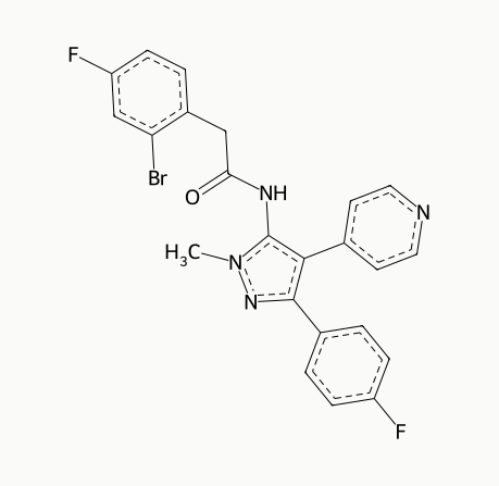 Cn1nc(-c2ccc(F)cc2)c(-c2ccncc2)c1NC(=O)Cc1ccc(F)cc1Br